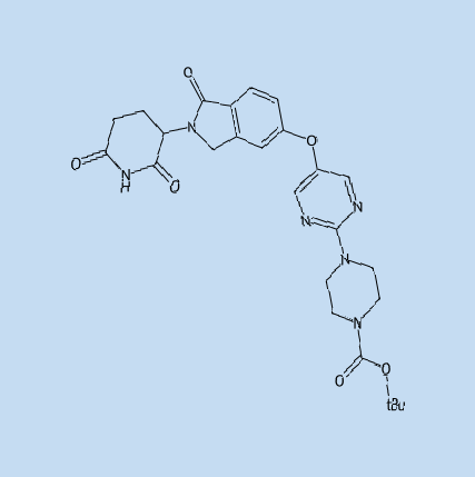 CC(C)(C)OC(=O)N1CCN(c2ncc(Oc3ccc4c(c3)CN(C3CCC(=O)NC3=O)C4=O)cn2)CC1